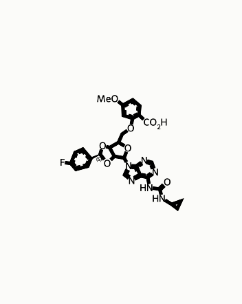 COc1ccc(C(=O)O)c(OCC2OC(n3cnc4c(NC(=O)NC5CC5)ncnc43)C3O[C@@H](c4ccc(F)cc4)OC23)c1